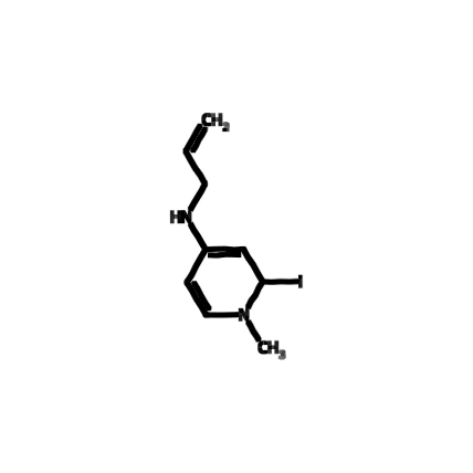 C=CCNC1=CC(I)N(C)C=C1